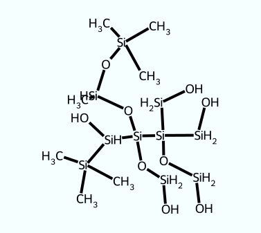 C[SiH](O[Si](C)(C)C)O[Si](O[SiH2]O)([SiH](O)[Si](C)(C)C)[Si](O[SiH2]O)([SiH2]O)[SiH2]O